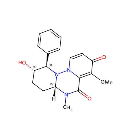 COc1c2n(ccc1=O)N1[C@H](c3ccccc3)[C@@H](O)CC[C@H]1N(C)C2=O